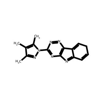 Cc1nn(-c2nnc3c(n2)N=C2C=CCC=C23)c(C)c1C